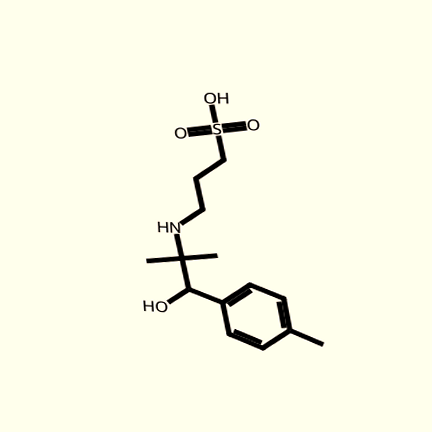 Cc1ccc(C(O)C(C)(C)NCCCS(=O)(=O)O)cc1